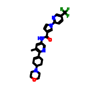 Cc1cc(NC(=O)c2ccn(-c3ccc(C(F)(F)F)cn3)c2)cnc1C1=CCC(N2CCOCC2)CC1